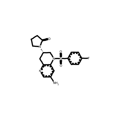 Nc1cnc2c(c1)N(S(=O)(=O)c1ccc(F)cc1)C[C@@H](N1CCCC1=O)C2